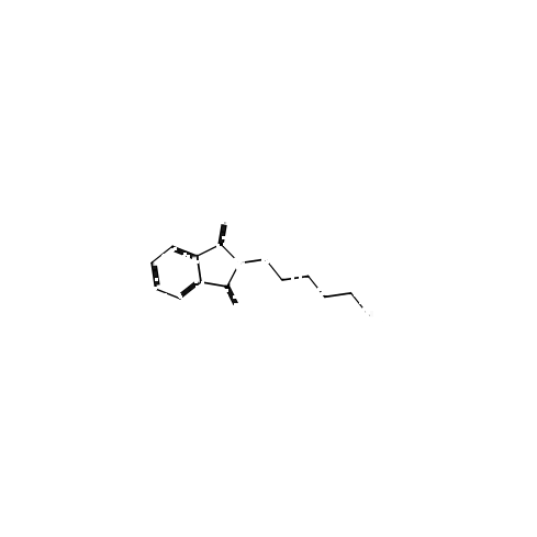 NCCCCCN1C(=O)c2ccccc2C1=O